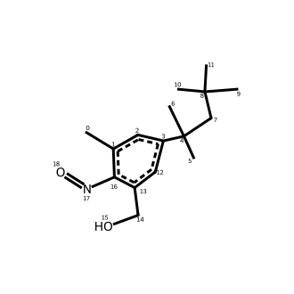 Cc1cc(C(C)(C)CC(C)(C)C)cc(CO)c1N=O